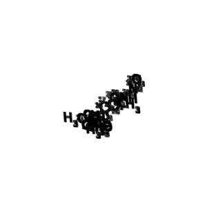 COc1cc2c(cc1O[Si](C)(C)C(C)(C)C)CCC1C2CC[C@@]2(C)C1CC[C@@H]2NCCN1CCOCC1